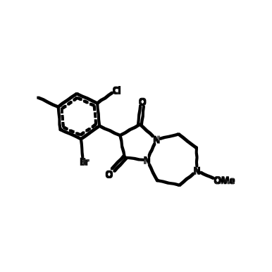 CON1CCN2C(=O)C(c3c(Cl)cc(C)cc3Br)C(=O)N2CC1